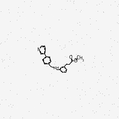 COC(=O)CCc1cccc(CNCc2ccc(-c3cccnc3)cc2)c1